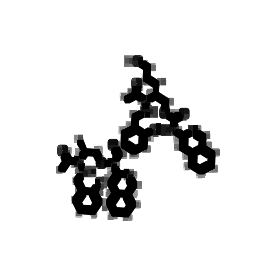 CC(=O)N(NCc1ccccc1Cl)[C@@H](C)CON(C=O)c1cc2ccccc2cn1.CC(=O)N(NCc1ccccc1Cl)[C@@H](CCCO)COC(=O)Nc1cc2ccccc2cn1